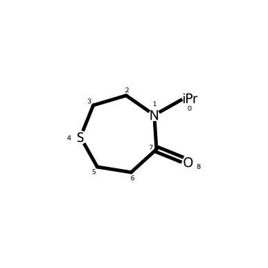 CC(C)N1CCSCCC1=O